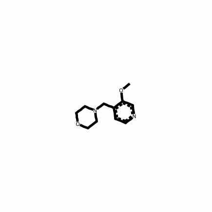 COc1cnccc1CN1CCOCC1